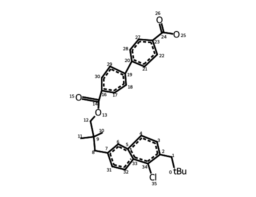 [CH2]C(C)(C)Cc1ccc2cc(CC(C)(C)COC(=O)c3ccc(-c4ccc(C([O])=O)cc4)cc3)ccc2c1Cl